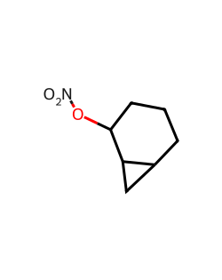 O=[N+]([O-])OC1CCCC2CC21